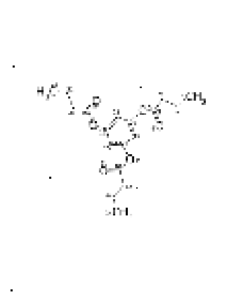 CCCC(=O)Oc1cc(OC(=O)CCC)cc(OC(=O)CCC)c1